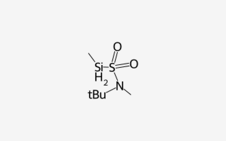 C[SiH2]S(=O)(=O)N(C)C(C)(C)C